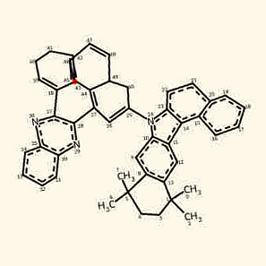 CC1(C)CCC(C)(C)c2cc3c(cc21)c1c2ccccc2ccc1n3C1=CC(c2nc3ccccc3nc2C2=CCCC=C2)=C2C=CC=CC2C1